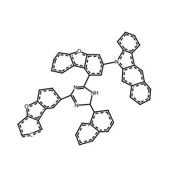 c1ccc2cc3c(cc2c1)c1ccccc1n3-c1cc(C2=NC(c3ccc4oc5ccccc5c4c3)=NC(c3cccc4ccccc34)N2)c2c(c1)oc1ccccc12